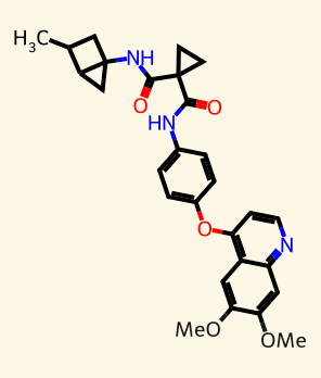 COc1cc2nccc(Oc3ccc(NC(=O)C4(C(=O)NC56CC(C)C5C6)CC4)cc3)c2cc1OC